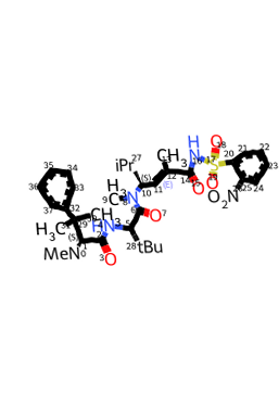 CN[C@H](C(=O)NC(C(=O)N(C)[C@H](/C=C(\C)C(=O)NS(=O)(=O)c1ccccc1[N+](=O)[O-])C(C)C)C(C)(C)C)C(C)(C)c1ccccc1